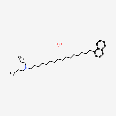 CCCN(CCC)CCCCCCCCCCCCCCCCc1cccc2ccccc12.O